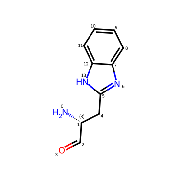 N[C@@H](C=O)Cc1nc2ccccc2[nH]1